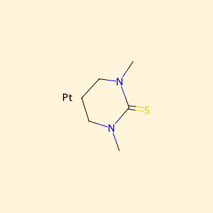 CN1CCCN(C)C1=S.[Pt]